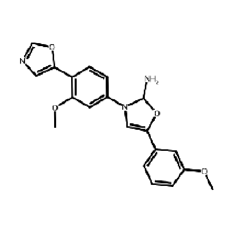 COc1cccc(C2=CN(c3ccc(-c4cnco4)c(OC)c3)C(N)O2)c1